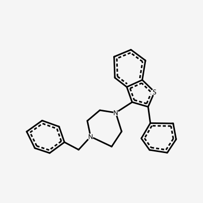 c1ccc(CN2CCN(c3c(-c4ccccc4)sc4ccccc34)CC2)cc1